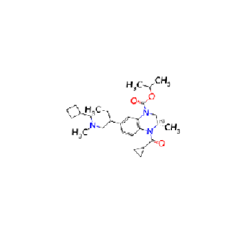 CCC(CN(C)CC1CCC1)c1ccc2c(c1)N(C(=O)OC(C)C)C[C@H](C)N2C(=O)C1CC1